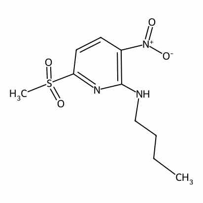 CCCCNc1nc(S(C)(=O)=O)ccc1[N+](=O)[O-]